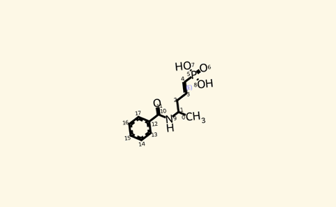 CC(C/C=C/P(=O)(O)O)NC(=O)c1ccccc1